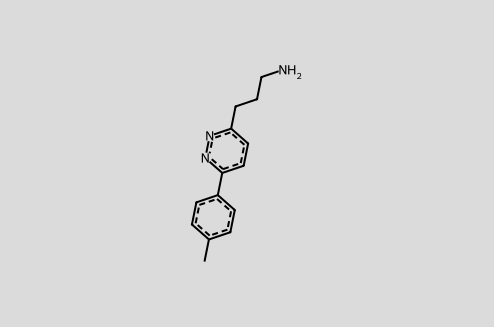 Cc1ccc(-c2ccc(CCCN)nn2)cc1